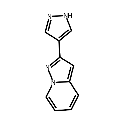 c1ccn2nc(-c3cn[nH]c3)cc2c1